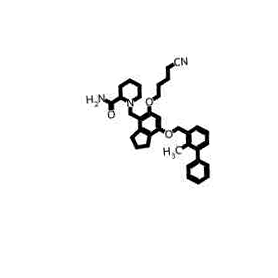 Cc1c(COc2cc(OCCCCC#N)c(CN3CCCCC3C(N)=O)c3c2CCC3)cccc1-c1ccccc1